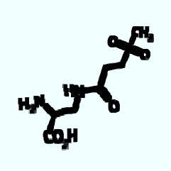 CS(=O)(=O)CCC(=O)NC[C@H](N)C(=O)O